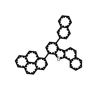 c1ccc2cc(-c3ccc(-c4ccc5ccc6cccc7ccc4c5c67)c4oc5c6ccccc6ccc5c34)ccc2c1